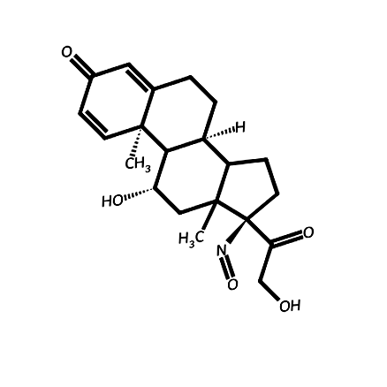 CC12C[C@H](O)C3[C@@H](CCC4=CC(=O)C=C[C@@]43C)C1CC[C@]2(N=O)C(=O)CO